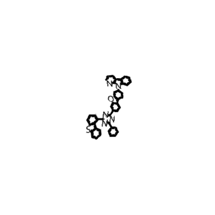 c1ccc(-c2nc(-c3ccc4c(c3)oc3cc(-n5c6ccccc6c6cccnc65)ccc34)nc(-c3cccc4sc5ccccc5c34)n2)cc1